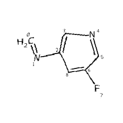 C=Nc1cncc(F)c1